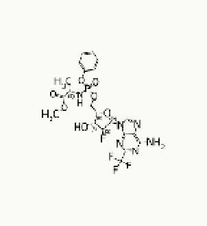 COC(=O)[C@H](C)NP(=O)(OC[C@H]1O[C@@H](n2cnc3c(N)nc(C(F)(F)F)nc32)[C@@H](F)[C@@H]1O)Oc1ccccc1